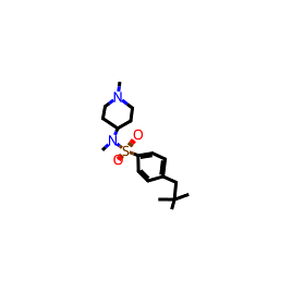 CN1CCC(N(C)S(=O)(=O)c2ccc(CC(C)(C)C)cc2)CC1